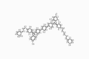 Cc1ccc(N(c2ccc(C=CC=CC=Cc3ccccc3)cc2)c2ccc(-c3ccc(-c4ccc(N(c5ccc(/C=C\Cc6ccccc6)cc5)c5ccc(C)cc5C)cc4)cc3)cc2)c(C)c1